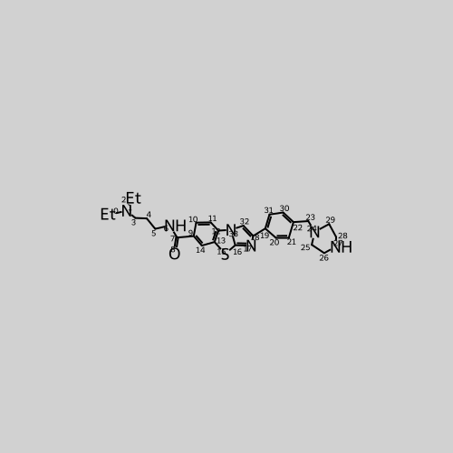 CCN(CC)CCCNC(=O)c1ccc2c(c1)sc1nc(-c3ccc(CN4CCNCC4)cc3)cn12